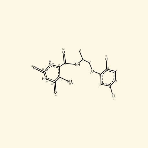 CC(COc1cc(Cl)ccc1Cl)NC(=O)c1[nH]c(=O)[nH]c(=O)c1N